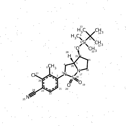 Cc1c(N2C[C@@H]3[C@@H](O[Si](C)(C)C(C)(C)C)CCN3S2(=O)=O)ccc(C#N)c1Cl